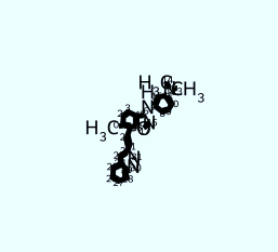 Cc1ccc2c(Nc3cccc(N(C)C)c3)noc2c1C#Cc1cc2ccccc2nn1